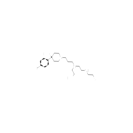 OC1(c2ccc(Cl)cc2)CCN(CCCN(CCS)CCNCCS)CC1